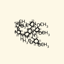 COc1ccc(CN(Cc2ccc(OC)cc2OC)c2nc(-c3cnccc3C)cc3cc(Nc4cnn(C5CCN(C)C5=O)c4)ncc23)c(OC)c1